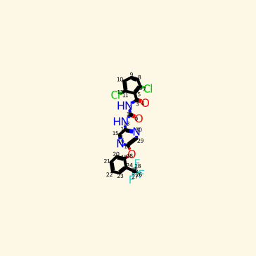 O=C(NC(=O)c1c(Cl)cccc1Cl)Nc1cnc(Oc2ccccc2C(F)(F)F)cn1